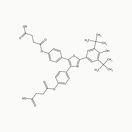 CC(C)(C)c1cc(-c2nc(-c3ccc(OC(=O)CCC(=O)O)cc3)c(-c3ccc(OC(=O)CCC(=O)O)cc3)s2)cc(C(C)(C)C)c1O